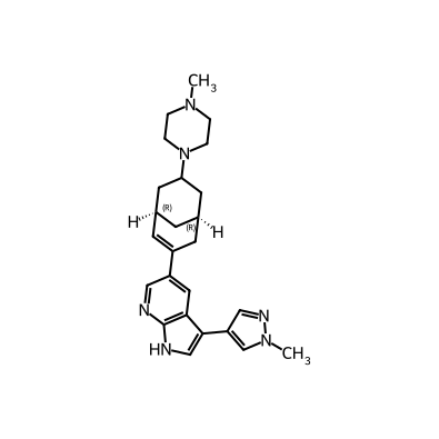 CN1CCN(C2C[C@@H]3C=C(c4cnc5[nH]cc(-c6cnn(C)c6)c5c4)C[C@H](C2)C3)CC1